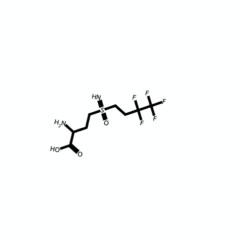 N=S(=O)(CCC(N)C(=O)O)CCC(F)(F)C(F)(F)F